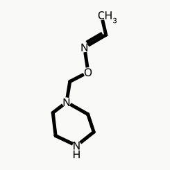 C/C=N/OCN1CCNCC1